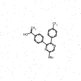 C=C(O)c1ccc(-c2nc(CCCC)cnc2-c2ccc(C(F)(F)F)cc2)cc1